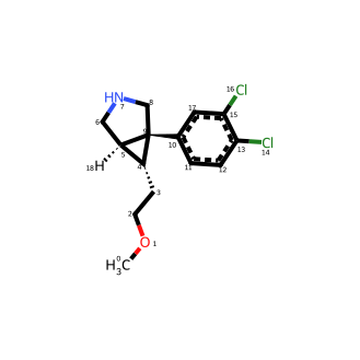 COCC[C@@H]1[C@H]2CNC[C@]12c1ccc(Cl)c(Cl)c1